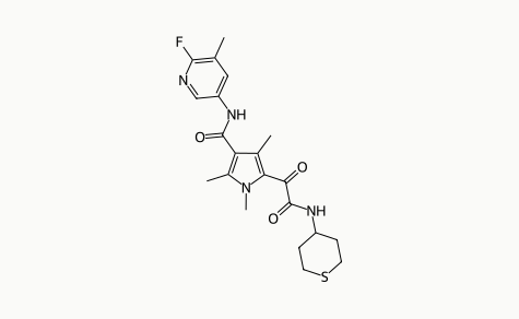 Cc1cc(NC(=O)c2c(C)c(C(=O)C(=O)NC3CCSCC3)n(C)c2C)cnc1F